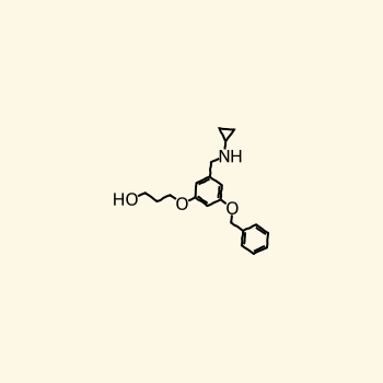 OCCCOc1cc(CNC2CC2)cc(OCc2ccccc2)c1